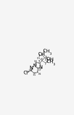 CCC(O)C(CC)(CC)c1cn2nc(Cl)ccc2n1